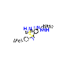 CN/C=C(\N=N)Nc1ccc(-c2cnc([C@H]3CC[C@H](NC)CC3)s2)c(B(N)SC2CC2)c1